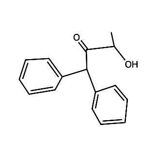 CC(O)C(=O)C(c1ccccc1)c1ccccc1